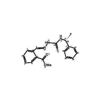 COC(=O)c1ccccc1C=NNC(=S)N[C@H](C)c1ccccc1